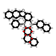 c1ccc(-c2cccc(N(c3ccc4ccccc4c3)c3ccc4oc5cc6ccccc6cc5c4c3N(c3ccccc3)c3ccc4ccccc4c3)c2)cc1